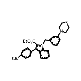 CCOC(=O)c1c(-c2ccc(C(C)(C)C)cc2)c2ccccc2n1Cc1cccc(N2CCSCC2)c1